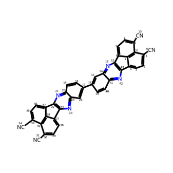 N#Cc1ccc2c3c(ccc(C#N)c13)-c1nc3cc(-c4ccc5nc6c(nc5c4)-c4ccc(C#N)c5c(C#N)ccc-6c45)ccc3nc1-2